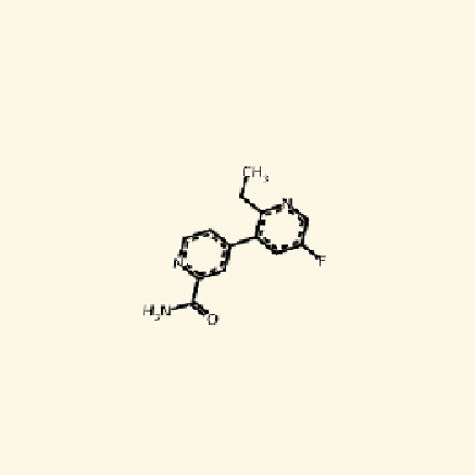 CCc1ncc(F)cc1-c1ccnc(C(N)=O)c1